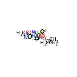 Cc1c(Nc2c(F)ccc(N(COCC[Si](C)(C)C)S(=O)(=O)c3cc(F)ccc3F)c2Cl)ccc2ncn(C)c(=O)c12